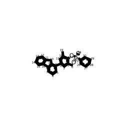 Cc1cc(-c2cccc3c2Cc2ccccc2-3)cc(C)c1OS(=O)(=O)c1ccccc1